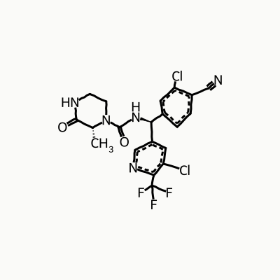 C[C@@H]1C(=O)NCCN1C(=O)N[C@@H](c1ccc(C#N)c(Cl)c1)c1cnc(C(F)(F)F)c(Cl)c1